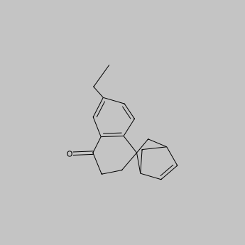 CCc1ccc2c(c1)C(=O)CCC21CC2C=CC1C2